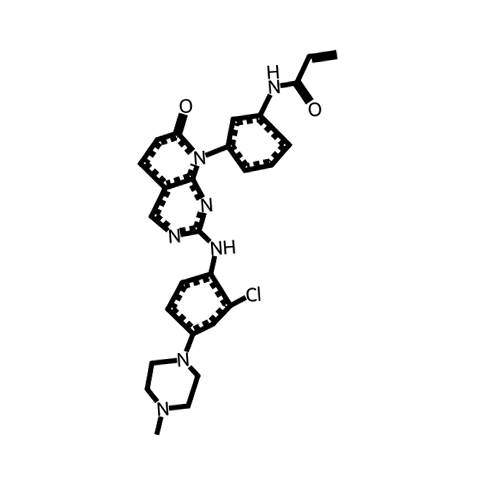 C=CC(=O)Nc1cccc(-n2c(=O)ccc3cnc(Nc4ccc(N5CCN(C)CC5)cc4Cl)nc32)c1